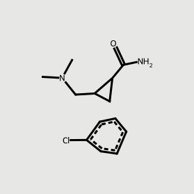 CN(C)CC1CC1C(N)=O.Clc1ccccc1